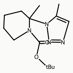 Cc1cnnn1C1(C)CCCCN1C(=O)OC(C)(C)C